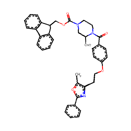 Cc1oc(-c2ccccc2)nc1CCOc1ccc(C(=O)N2CCN(C(=O)OCC3c4ccccc4-c4ccccc43)CC2C=O)cc1